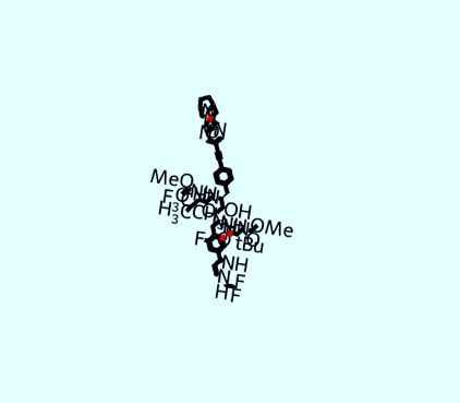 COC(=O)NC(C(=O)N[C@@H](Cc1ccc(C#Cc2cnc(N3CC4CCC(C3)N4C3COC3)nc2)cc1)[C@@H](O)CN(Cc1c(F)cc(C(=N)/C=C\NCC(F)F)cc1F)NC(=O)[C@@H](NC(=O)OC)C(C)(C)C)C(C)(C)C(F)(F)F